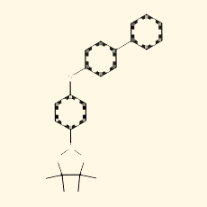 CC1(C)OB(c2ccc(Nc3ccc(-c4ccccc4)cc3)cc2)OC1(C)C